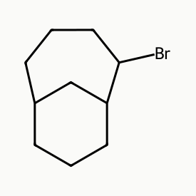 BrC1CCCC2CCCC1C2